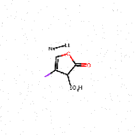 C[CH2][Na].O=C1OC=C(I)C1S(=O)(=O)O